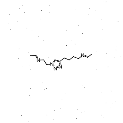 C/C=N/CCCCc1cn(CC/N=C/C)nn1